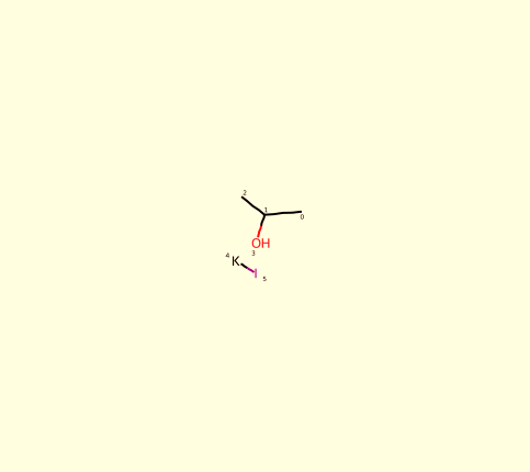 CC(C)O.[K][I]